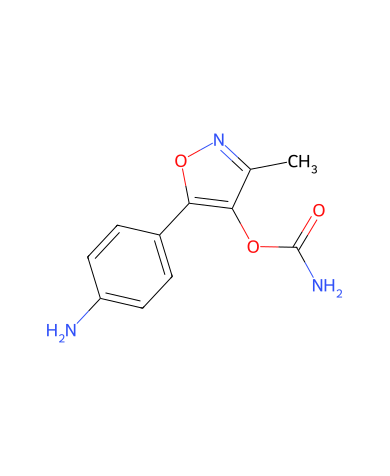 Cc1noc(-c2ccc(N)cc2)c1OC(N)=O